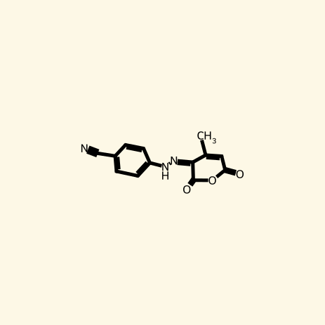 CC1=CC(=O)OC(=O)C1=NNc1ccc(C#N)cc1